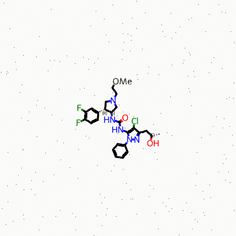 COCCN1C[C@@H](NC(=O)Nc2c(Cl)c(C[C@H](C)O)nn2-c2ccccc2)[C@H](c2ccc(F)c(F)c2)C1